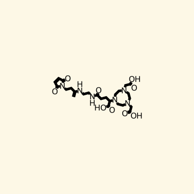 C=C(CCN1C(=O)C=CC1=O)NCCNC(=O)CCC(C(=O)O)N1CCN(CC(=O)O)CCN(CC(=O)O)CC1